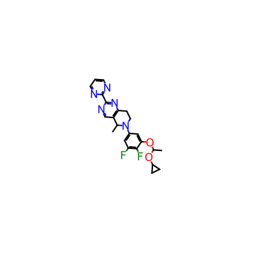 CC(Oc1cc(N2CCc3nc(-c4ncccn4)ncc3C2C)cc(F)c1F)OC1CC1